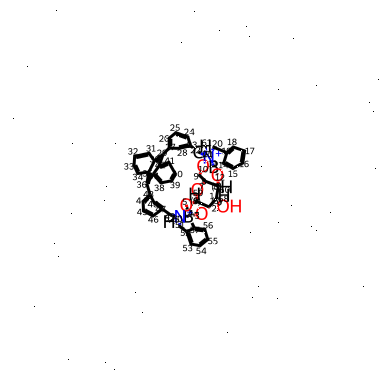 O[C@@H]1C2O[B-]34O[C@H]2OC2CO[B-]5(O[C@H]21)c1ccccc1C[N@H+]5Cc1cccc(c1)-c1c2ccccc2c(c2ccccc12)-c1cccc(c1)C[N@H+]3Cc1ccccc14